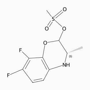 C[C@@H]1Nc2ccc(F)c(F)c2OC1OS(C)(=O)=O